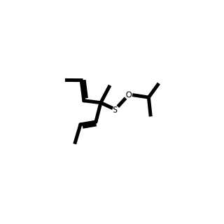 CC=CC(C)(C=CC)SOC(C)C